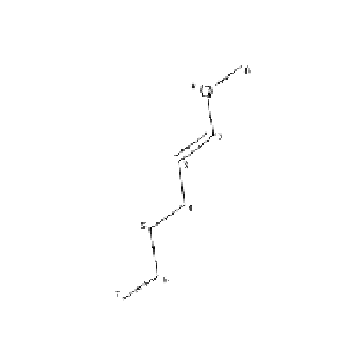 [CH2]O/C=C/CCCC